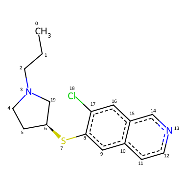 CCCN1CC[C@H](Sc2cc3ccncc3cc2Cl)C1